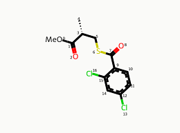 COC(=O)[C@H](C)CSC(=O)c1ccc(Cl)cc1Cl